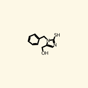 OCc1cnc(S)n1Cc1ccccc1